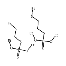 CCOP(=S)(OCC)SCCSCC.CCOP(=S)(OCC)SCSCC